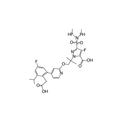 CPN(PC)S(=O)(=O)c1nn(C(C)(C)COc2cc(-c3cc(F)cc(C(C)C)c3CC(=O)O)ccn2)c(C(=O)O)c1F